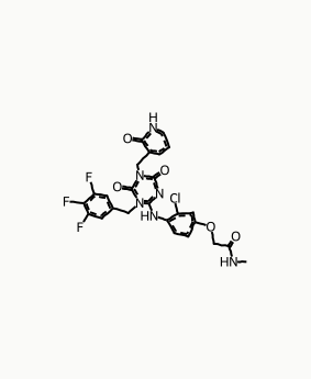 CNC(=O)COc1ccc(Nc2nc(=O)n(Cc3ccc[nH]c3=O)c(=O)n2Cc2cc(F)c(F)c(F)c2)c(Cl)c1